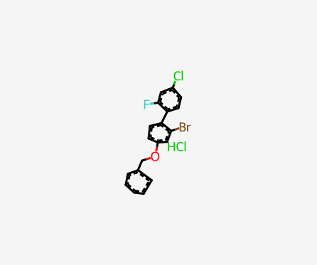 Cl.Fc1cc(Cl)ccc1-c1ccc(OCc2ccccc2)cc1Br